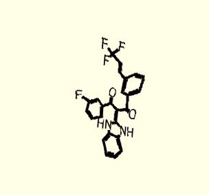 O=C(C(C(=O)c1cccc(C=CC(F)(F)F)c1)=C1Nc2ccccc2N1)c1cccc(F)c1